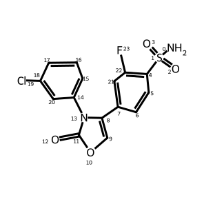 NS(=O)(=O)c1ccc(-c2coc(=O)n2-c2cccc(Cl)c2)cc1F